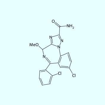 COC1N=C(c2ccccc2Cl)c2cc(Cl)ccc2-n2nc(C(N)=O)nc21